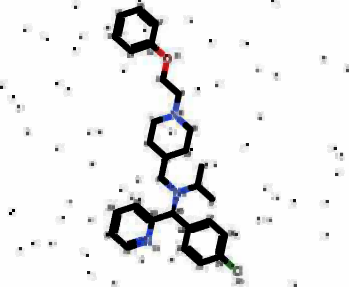 CC(C)N(CC1CCN(CCOc2ccccc2)CC1)[C@@H](c1ccc(Cl)cc1)c1ccccn1